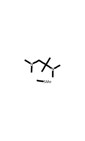 CN(C)CC(C)(C)N(C)C.CSC